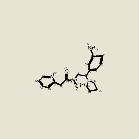 CN(CC(c1cccc(N)c1)N1CCCC1)C(=O)Cc1ccccn1